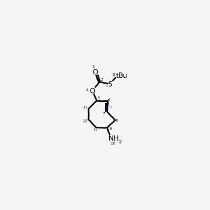 CC(C)(C)SC(=O)OC1/C=C/CC(N)CCC1